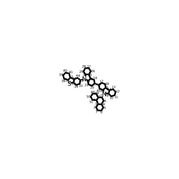 c1ccc2c(c1)cc(-n1c3ccccc3c3ccc(-c4ccc5c(c4)c4ccccc4n5-c4ccc5sc6ccccc6c5c4)cc31)c1ccccc12